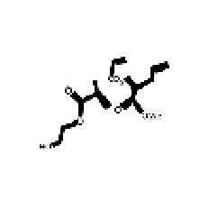 C=C(C)C(=O)OCCO.C=CC(=O)O.C=CCC(=C)C(=O)OC